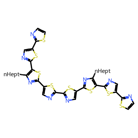 CCCCCCCc1nc(-c2cnc(-c3ncc(-c4nc(CCCCCCC)c(-c5ncc(-c6nccs6)s5)s4)s3)s2)sc1-c1ncc(-c2nccs2)s1